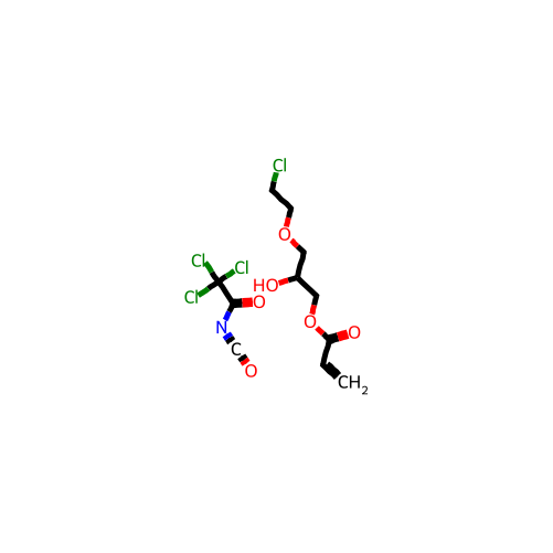 C=CC(=O)OCC(O)COCCCl.O=C=NC(=O)C(Cl)(Cl)Cl